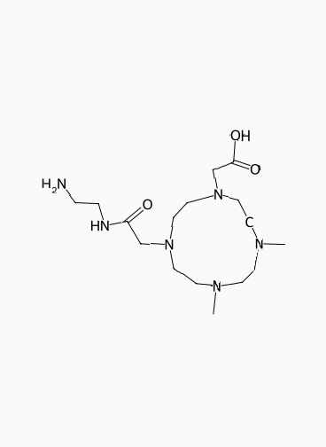 CN1CCN(C)CCN(CC(=O)NCCN)CCN(CC(=O)O)CC1